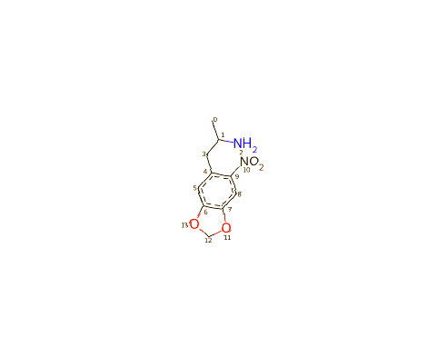 CC(N)Cc1cc2c(cc1[N+](=O)[O-])OCO2